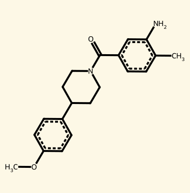 COc1ccc(C2CCN(C(=O)c3ccc(C)c(N)c3)CC2)cc1